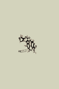 CN1CCC(N(C)C(=O)c2cc3ccc(NC(=O)O)cc3n2Cc2ccc(C(N)=O)cc2)C1